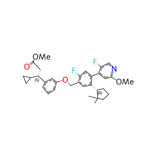 COC(=O)C[C@H](c1cccc(OCc2cc([C@@H]3CCCC3(C)C)c(-c3cc(OC)ncc3F)cc2F)c1)C1CC1